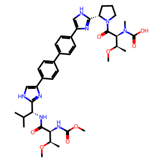 COC(=O)N[C@H](C(=O)N[C@@H](c1nc(-c2ccc(-c3ccc(-c4c[nH]c([C@@H]5CCCN5C(=O)[C@H]([C@@H](C)OC)N(C)C(=O)O)n4)cc3)cc2)c[nH]1)C(C)C)[C@@H](C)OC